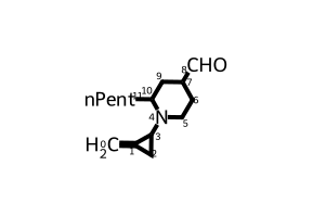 C=C1CC1N1CCC(C=O)CC1CCCCC